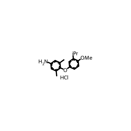 COc1ccc(Oc2c(C)cc(N)cc2C)cc1C(C)C.Cl